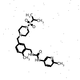 Cc1ccc(NC(=O)NCc2cc(CN3CCN(S(=O)(=O)C(C)C)CC3)ccc2C)cn1